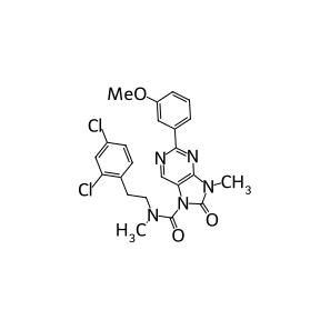 COc1cccc(-c2ncc3c(n2)n(C)c(=O)n3C(=O)N(C)CCc2ccc(Cl)cc2Cl)c1